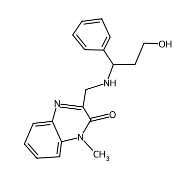 Cn1c(=O)c(CNC(CCO)c2ccccc2)nc2ccccc21